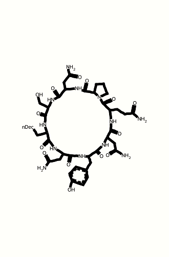 CCCCCCCCCCCC1NC(=O)C(CO)NC(=O)C(CC(N)=O)NC(=O)C2CCCN2C(=O)C(CCC(N)=O)NC(=O)C(CC(N)=O)NC(=O)C(Cc2ccc(O)cc2)NC(=O)C(CC(N)=O)NC1=O